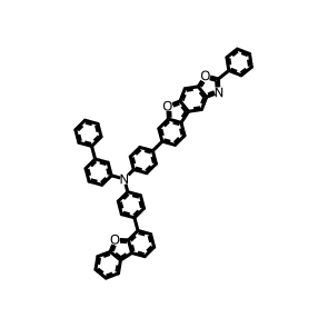 c1ccc(-c2cccc(N(c3ccc(-c4ccc5c(c4)oc4cc6oc(-c7ccccc7)nc6cc45)cc3)c3ccc(-c4cccc5c4oc4ccccc45)cc3)c2)cc1